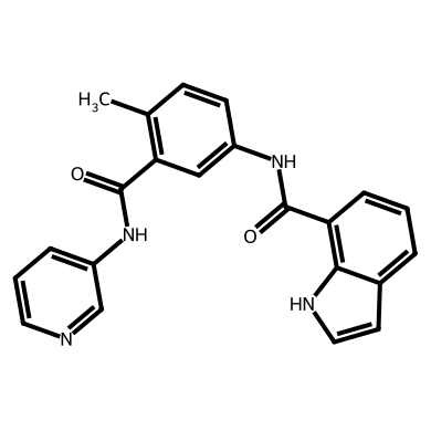 Cc1ccc(NC(=O)c2cccc3cc[nH]c23)cc1C(=O)Nc1cccnc1